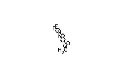 CCOC(=O)c1ccc2nc(N3CCC(F)(F)CC3)ccc2c1